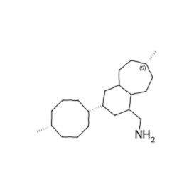 C[C@H]1CCC2CC([C@H]3CCC[C@@H](C)CCC3)CC(CN)C2CC1